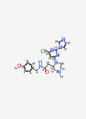 COc1ccc(CNC(=O)CC2CN(C)CCN2c2cc(Cl)nc(-n3ccnc3)n2)cc1